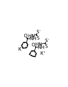 O=C(NNC(=S)[S-])c1ccccc1.O=C(NNC(=S)[S-])c1ccccc1.[K+].[K+]